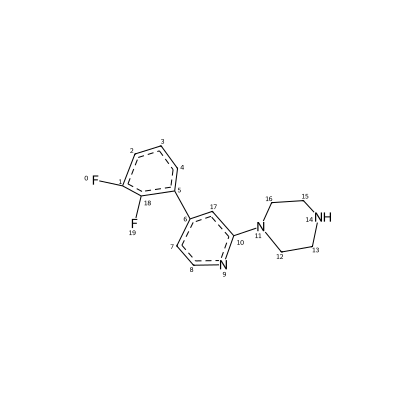 Fc1cccc(-c2ccnc(N3CCNCC3)c2)c1F